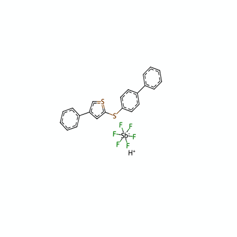 [F][Sb-]([F])([F])([F])([F])[F].[H+].c1ccc(-c2ccc(Sc3cc(-c4ccccc4)cs3)cc2)cc1